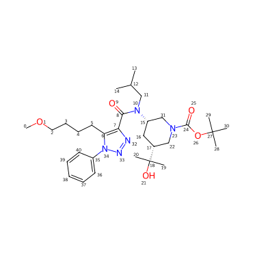 COCCCCc1c(C(=O)N(CC(C)C)[C@H]2C[C@@H](C(C)(C)O)CN(C(=O)OC(C)(C)C)C2)nnn1-c1ccccc1